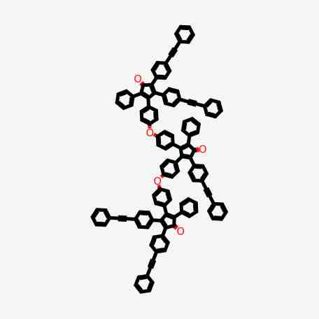 O=C1C(c2ccc(C#Cc3ccccc3)cc2)=C(c2ccc(C#Cc3ccccc3)cc2)C(c2ccc(Oc3ccc(C4=C(c5ccccc5)C(=O)C(c5ccc(C#Cc6ccccc6)cc5)=C4c4ccc(Oc5ccc(C6=C(c7ccccc7)C(=O)C(c7ccc(C#Cc8ccccc8)cc7)=C6c6ccc(C#Cc7ccccc7)cc6)cc5)cc4)cc3)cc2)=C1c1ccccc1